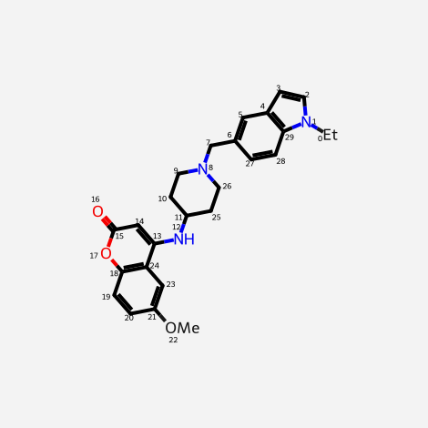 CCn1ccc2cc(CN3CCC(Nc4cc(=O)oc5ccc(OC)cc45)CC3)ccc21